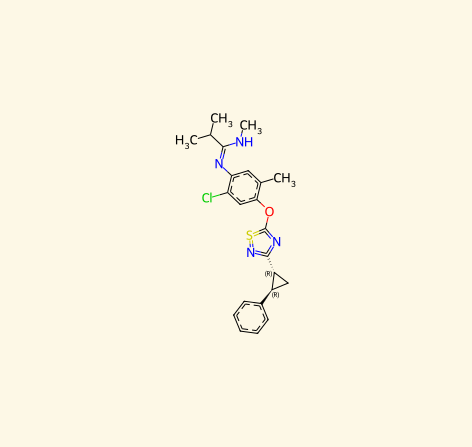 CNC(=Nc1cc(C)c(Oc2nc([C@@H]3C[C@H]3c3ccccc3)ns2)cc1Cl)C(C)C